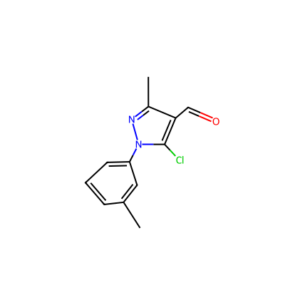 Cc1cccc(-n2nc(C)c(C=O)c2Cl)c1